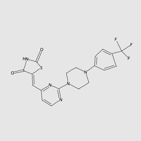 O=C1NC(=O)C(=Cc2ccnc(N3CCN(c4ccc(C(F)(F)F)cc4)CC3)n2)S1